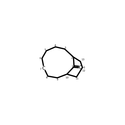 O=C1C2CCCCCCCC1CCC2